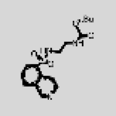 CC(C)(C)OC(=O)NCCNS(=O)(=O)c1cccc2cnccc12